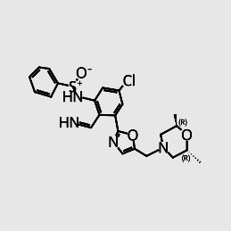 C[C@@H]1CN(Cc2cnc(-c3cc(Cl)cc(N[S+]([O-])c4ccccc4)c3C=N)o2)C[C@@H](C)O1